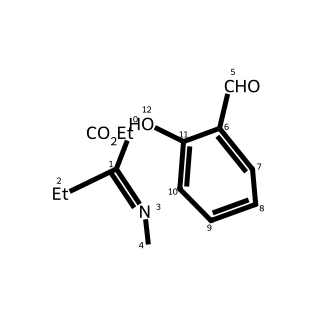 CCOC(=O)C(CC)=NC.O=Cc1ccccc1O